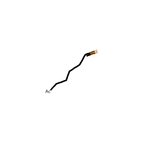 CC(=O)CCCCC=S